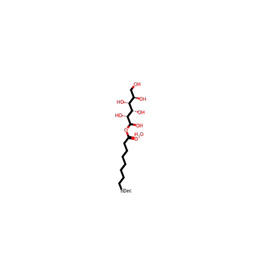 CCCCCCCCCCCCCCCCCC(=O)OC(O)[C@H](O)[C@@H](O)[C@H](O)[C@H](O)CO.O